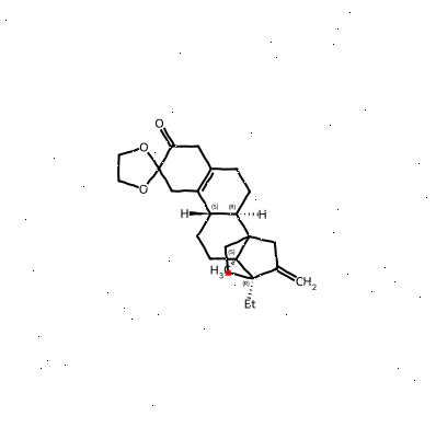 C=C1CC23CC[C@@]1(CC)[C@@]2(C)CC[C@@H]1C2=C(CC[C@H]13)CC(=O)C1(C2)OCCO1